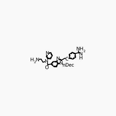 CCCCCCCCCCn1c(CCc2ccc(C(=N)N)cc2)nc2cc(C(=O)N(CCN)c3cccnc3)ccc21